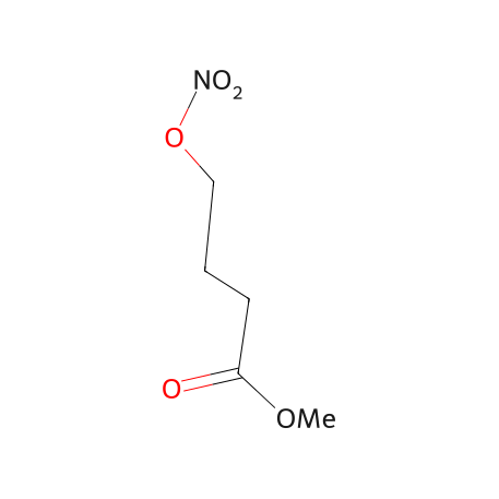 COC(=O)CCCO[N+](=O)[O-]